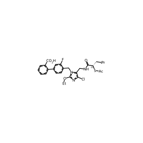 CCOc1nc(Cl)c(CNC(=O)[C@H](CC(C)C)SC(C)=O)n1Cc1ccc(-c2ccccc2C(=O)O)cc1F